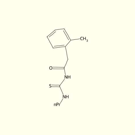 CCCNC(=S)NC(=O)Cc1ccccc1C